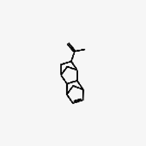 C=C(C)C1CC2CC1C1C3C=CC(C3)C21